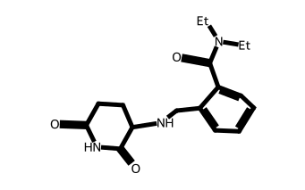 CCN(CC)C(=O)c1ccccc1CNC1CCC(=O)NC1=O